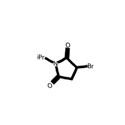 CC(C)N1C(=O)CC(Br)C1=O